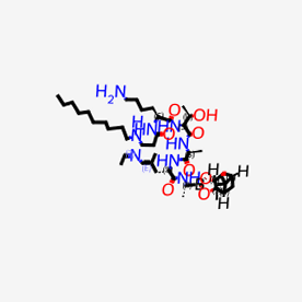 C/C=N\C=C(/C)C[C@H](NC(=O)[C@H](C)NC(=O)[C@@H](NC(=O)[C@H](CCCCN)NC(=O)CCNCCCCCCCCCC)[C@@H](C)O)C(=O)N[C@@H](C)B1O[C@@H]2C[C@@H]3C[C@@H](C3(C)C)[C@]2(C)O1